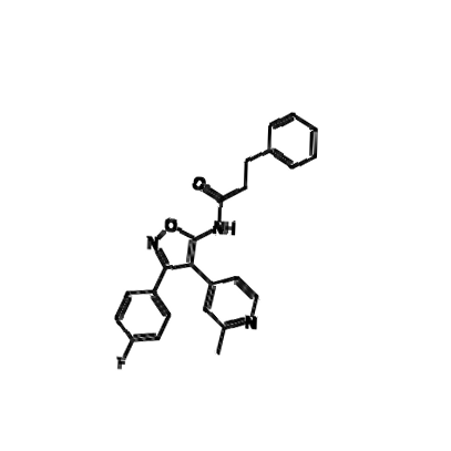 Cc1cc(-c2c(-c3ccc(F)cc3)noc2NC(=O)CCc2ccccc2)ccn1